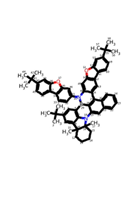 CC(C)(C)c1cc2c3c(c1)C1(C)CCCCC1(C)N3c1cc3ccccc3c3c1B2N(c1ccc2c(c1)oc1cc(C(C)(C)C)ccc12)c1cc2oc4cc(C(C)(C)C)ccc4c2cc1-3